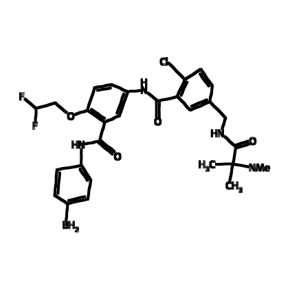 Bc1ccc(NC(=O)c2cc(NC(=O)c3cc(CNC(=O)C(C)(C)NC)ccc3Cl)ccc2OCC(F)F)cc1